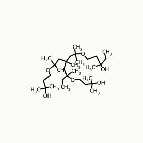 CCC(C)(O)CCOC(C)(C)CC(C)(CC(C)(C)OCCC(C)(C)O)CC(C)(CC)OCCC(C)(C)O